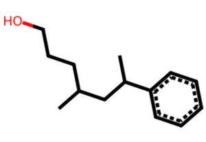 CC(CCCO)CC(C)c1ccccc1